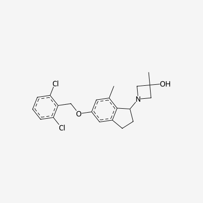 Cc1cc(OCc2c(Cl)cccc2Cl)cc2c1C(N1CC(C)(O)C1)CC2